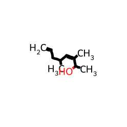 C=CCC(C)C=C(C)C(C)O